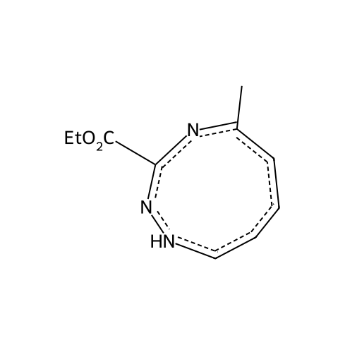 CCOC(=O)c1n[nH]ccccc(C)n1